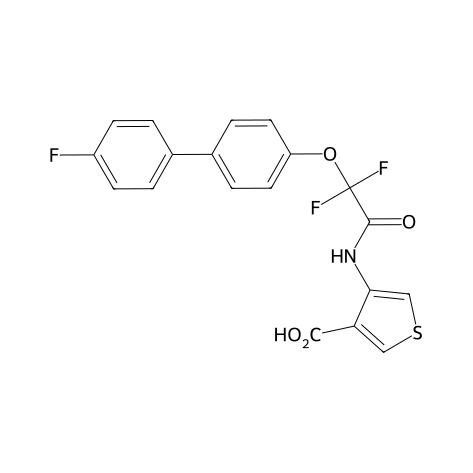 O=C(O)c1cscc1NC(=O)C(F)(F)Oc1ccc(-c2ccc(F)cc2)cc1